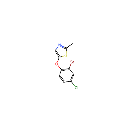 Cc1ncc(Oc2ccc(Cl)cc2Br)s1